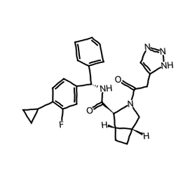 O=C(N[C@@H](c1ccccc1)c1ccc(C2CC2)c(F)c1)[C@@H]1[C@H]2CC[C@H]2CN1C(=O)Cc1cnn[nH]1